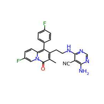 Cc1c(CCNc2ncnc(N)c2C#N)c(-c2ccc(F)cc2)c2ccc(F)cn2c1=O